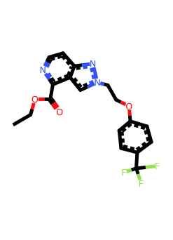 CCOC(=O)c1nccc2nn(CCOc3ccc(C(F)(F)F)cc3)cc12